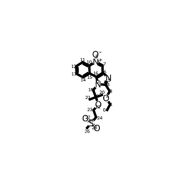 CCOCc1nc2c[n+]([O-])c3ccccc3c2n1CC(C)(C)OCCS(C)(=O)=O